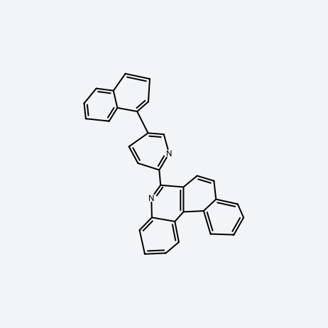 c1ccc2c(-c3ccc(-c4nc5ccccc5c5c4ccc4ccccc45)nc3)cccc2c1